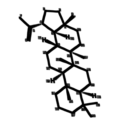 [CH2][C@]12CC[C@@H](C(=C)C)[C@@H]1[C@H]1CC[C@@H]3[C@@]4(C)CC[CH]C(C)(C)[C@@H]4CC[C@@]3(C)[C@]1(C)CC2